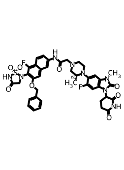 C[C@H]1CN(CC(=O)Nc2ccc3c(F)c(N4CC(=O)NS4(=O)=O)c(OCc4ccccc4)cc3c2)CCN1c1cc2c(cc1F)n(C1CCC(=O)NC1=O)c(=O)n2C